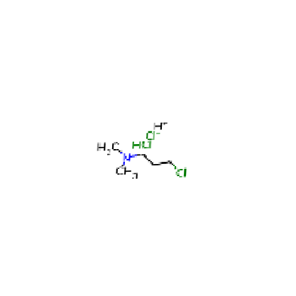 CN(C)CCCCl.Cl.[Cl-].[H+]